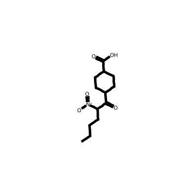 CCCCC(C(=O)C1CCC(C(=O)O)CC1)[N+](=O)[O-]